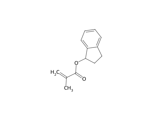 C=C(C)C(=O)OC1CCc2ccccc21